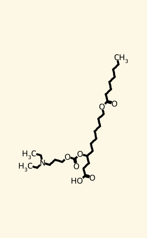 CCCCCCCC(=O)OCCCCCCCC(CCC(=O)O)OC(=O)OCCCN(CC)CC